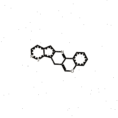 C1=C2Cc3c(cc4ccnsc3-4)N=C2c2ccccc2O1